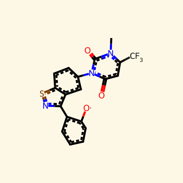 Cn1c(C(F)(F)F)cc(=O)n(-c2ccc3snc(-c4ccccc4[O])c3c2)c1=O